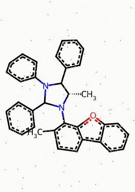 Cc1ccc2c(oc3ccccc32)c1N1C(c2ccccc2)N(c2ccccc2)C(c2ccccc2)[C@@H]1C